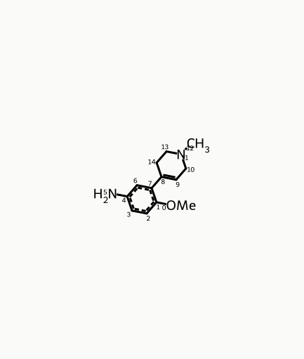 COc1ccc(N)cc1C1=CCN(C)CC1